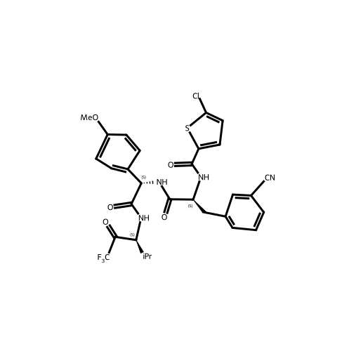 COc1ccc([C@H](NC(=O)[C@H](Cc2cccc(C#N)c2)NC(=O)c2ccc(Cl)s2)C(=O)N[C@H](C(=O)C(F)(F)F)C(C)C)cc1